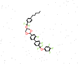 CCCCCc1ccc(C(F)(F)OC2COC(c3ccc(-c4ccc(C(F)(F)Oc5cc(F)c(F)c(F)c5)c(F)c4)c(F)c3)OC2)cc1